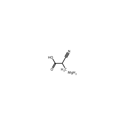 CC(C#N)C(=O)O.[MgH2]